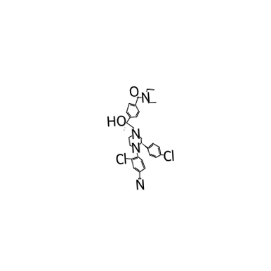 CCN(CC)C(=O)c1ccc([C@](C)(O)CN2CCN(c3ccc(C#N)cc3Cl)[C@H](c3ccc(Cl)cc3)C2)cc1